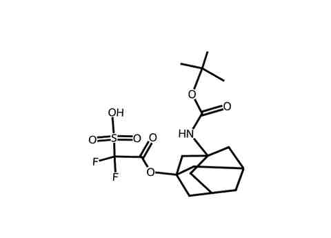 CC(C)(C)OC(=O)NC12CC3CC(C1)CC(OC(=O)C(F)(F)S(=O)(=O)O)(C3)C2